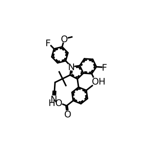 COc1cc(-n2c(C(C)(C)CC#N)c(-c3cc(C(=O)O)ccc3C)c3c(O)c(F)ccc32)ccc1F